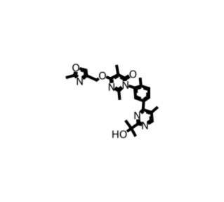 Cc1nc(COc2nc(C)n(-c3cc(-c4nc(C(C)(C)O)ncc4C)ccc3C)c(=O)c2C)co1